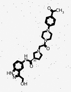 CC(=O)c1ccc(N2CCN(C(=O)CN3CC[C@@H](C(=O)Nc4ccc5[nH]nc(CO)c5c4)C3)CC2)cc1